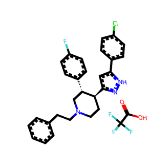 Fc1ccc([C@H]2CN(CCc3ccccc3)CC[C@@H]2c2cc(-c3ccc(Cl)cc3)[nH]n2)cc1.O=C(O)C(F)(F)F